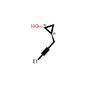 CCC#CC[C@@H]1C[C@H]1O